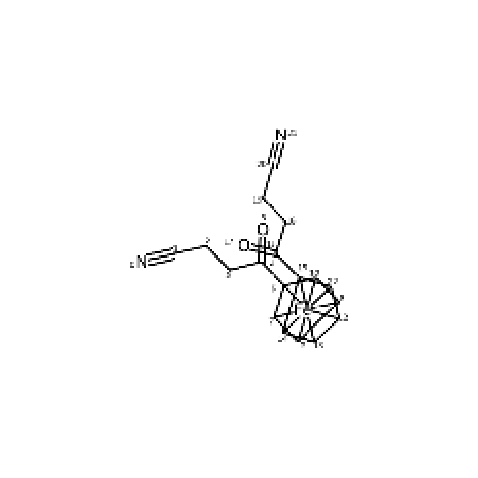 N#CCCC(=O)[C]12[CH]3[CH]4[CH]5[CH]1[Fe]45321678[CH]2[CH]1[CH]6[C]7(C(=O)CCC#N)[CH]28